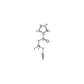 C#CCN(C)CC(=O)c1nccs1